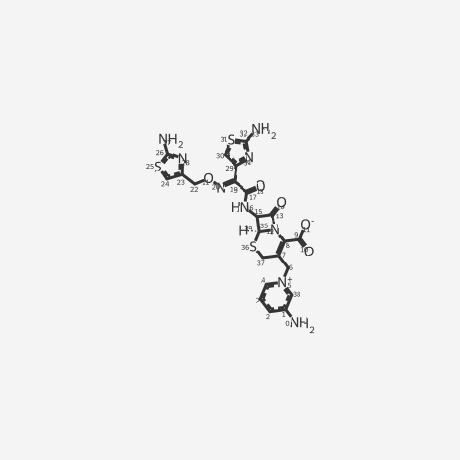 Nc1ccc[n+](CC2=C(C(=O)[O-])N3C(=O)C(NC(=O)C(=NOCc4csc(N)n4)c4csc(N)n4)[C@@H]3SC2)c1